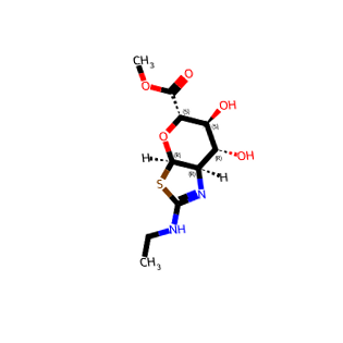 CCNC1=N[C@@H]2[C@@H](O)[C@H](O)[C@@H](C(=O)OC)O[C@@H]2S1